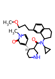 COCCCc1ccc2c(c1)C(N(C(=O)C1CNCC[C@@H]1c1ccn(C)c(=O)c1)C1CC1)CCC2